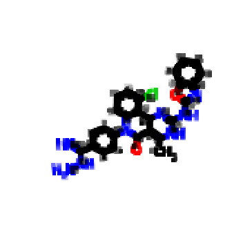 CC1=C(C(=O)Nc2ccc(C(=N)NN)cc2)C(c2ccccc2Cl)N=C(Nc2nc3ccccc3o2)N1